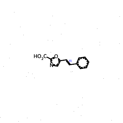 O=C(O)c1ncc(/C=C/c2ccccc2)o1